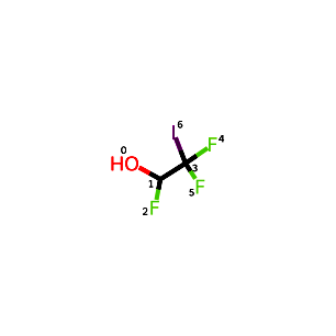 OC(F)C(F)(F)I